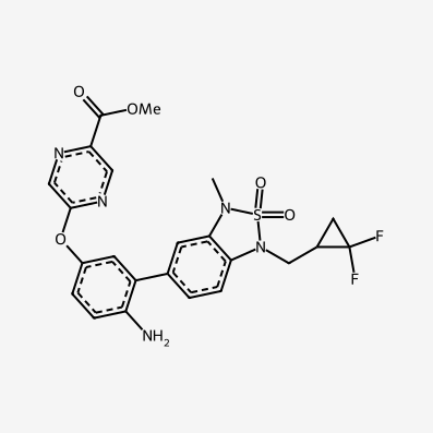 COC(=O)c1cnc(Oc2ccc(N)c(-c3ccc4c(c3)N(C)S(=O)(=O)N4CC3CC3(F)F)c2)cn1